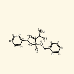 CCCCC(CC)C(=O)P(=O)(OCc1ccccc1)OCc1ccccc1